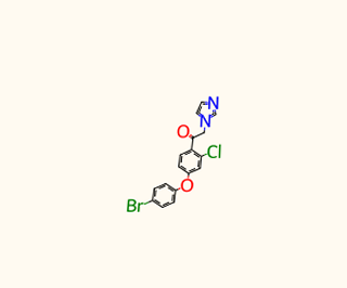 O=C(Cn1ccnc1)c1ccc(Oc2ccc(Br)cc2)cc1Cl